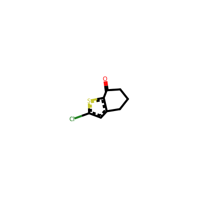 O=C1CCCc2cc(Cl)sc21